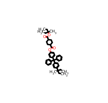 CCC(C)(CC)OC(=O)C1CCC(C(=O)Oc2ccc(C(c3ccccc3)(c3ccccc3)c3ccc(C(C)(CC)CC)cc3)cc2)CC1